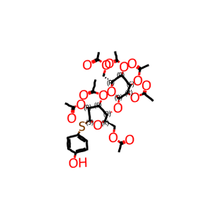 CC(=O)OC[C@H]1O[C@@H](Sc2ccc(O)cc2)[C@H](OC(C)=O)[C@@H](OC(C)=O)[C@@H]1O[C@H]1O[C@H](COC(C)=O)[C@@H](OC(C)=O)[C@H](OC(C)=O)[C@H]1OC(C)=O